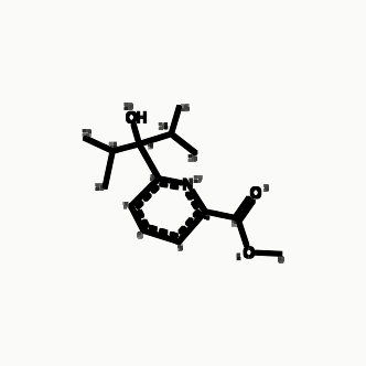 COC(=O)c1cccc(C(O)(C(C)C)C(C)C)n1